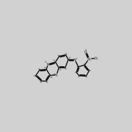 O=[N+]([O-])c1ccccc1N=c1ccc2nc3ccccc3sc-2c1